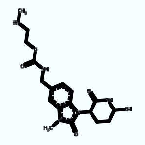 CNCCOC(=O)NCc1ccc2c(c1)n(C)c(=O)n2C1CCC(O)NC1=O